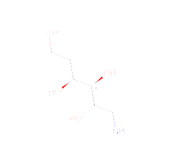 NCC(O)[C@H](O)[C@@H](O)CCO